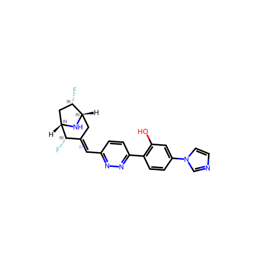 Oc1cc(-n2ccnc2)ccc1-c1ccc(/C=C2\C[C@@H]3N[C@@H](C[C@@H]3F)[C@H]2F)nn1